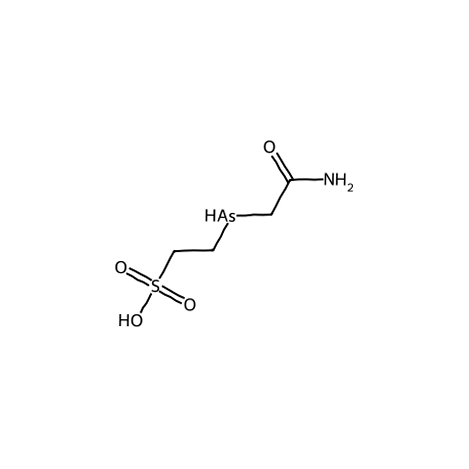 NC(=O)C[AsH]CCS(=O)(=O)O